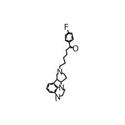 CN1CCN2c3c(cccc31)C1CN(CCCCCC(=O)c3ccc(F)cc3)CCC12